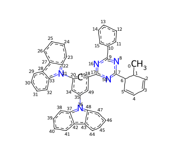 CC1C=CC=CC1c1nc(-c2ccccc2)nc(-c2cc(-n3c4ccccc4c4ccccc43)cc(-n3c4ccccc4c4ccccc43)c2)n1